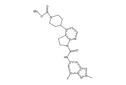 Cn1cc2cc(NC(=O)N3CCc4c(C5CCN(C(=O)OC(C)(C)C)CC5)ccnc43)cc(F)c2n1